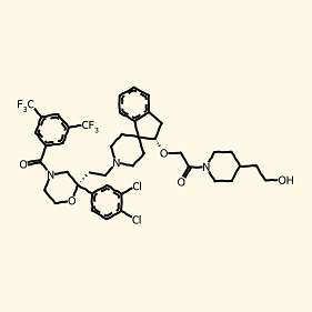 O=C(CO[C@H]1Cc2ccccc2C12CCN(CC[C@@]1(c3ccc(Cl)c(Cl)c3)CN(C(=O)c3cc(C(F)(F)F)cc(C(F)(F)F)c3)CCO1)CC2)N1CCC(CCO)CC1